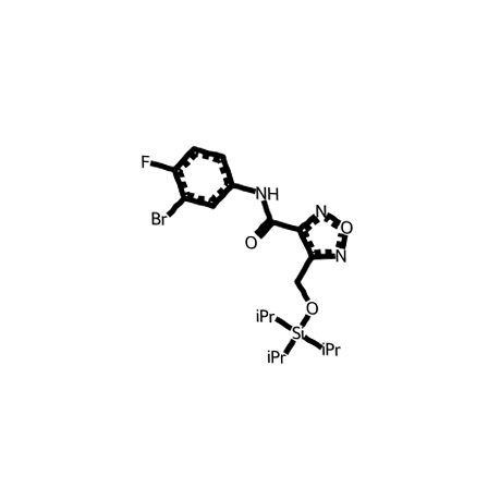 CC(C)[Si](OCc1nonc1C(=O)Nc1ccc(F)c(Br)c1)(C(C)C)C(C)C